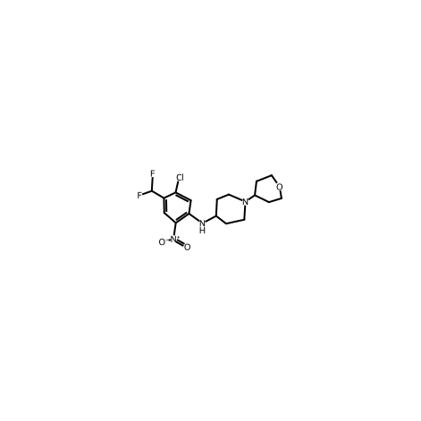 O=[N+]([O-])c1cc(C(F)F)c(Cl)cc1NC1CCN(C2CCOCC2)CC1